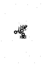 CC(C)(C)NC(=S)N[C@H]1CC[C@@]2(c3ccc4c(c3)OCO4)CCN(Cc3ccccc3)[C@H]2C1.Cl